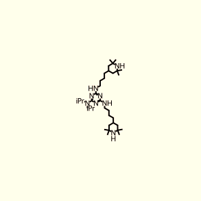 CC(C)N(c1nc(NCCCCC2CC(C)(C)NC(C)(C)C2)nc(NCCCCC2CC(C)(C)NC(C)(C)C2)n1)C(C)C